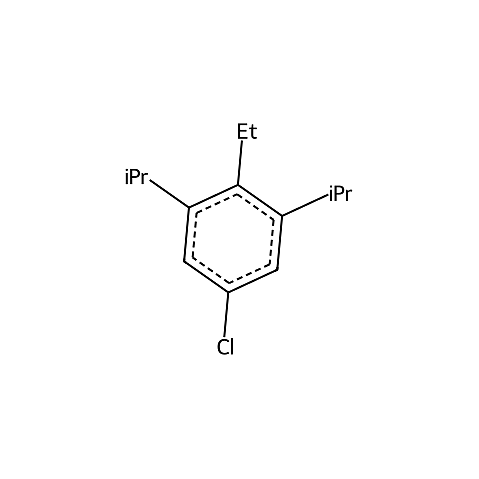 CCc1c(C(C)C)cc(Cl)cc1C(C)C